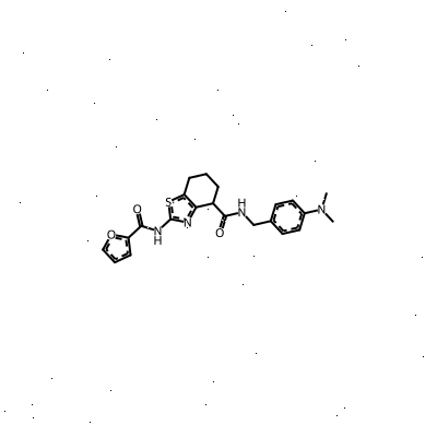 CN(C)c1ccc(CNC(=O)C2CCCc3sc(NC(=O)c4ccco4)nc32)cc1